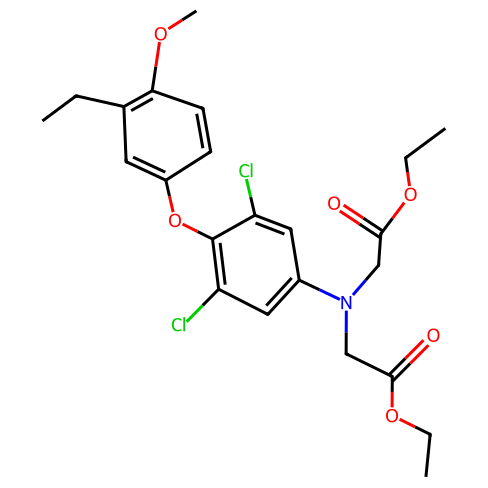 CCOC(=O)CN(CC(=O)OCC)c1cc(Cl)c(Oc2ccc(OC)c(CC)c2)c(Cl)c1